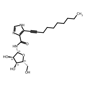 CCCCCCCCC#Cc1[nH]cnc1C(=O)N[C@@H]1O[C@H](CO)[C@@H](O)[C@H]1O